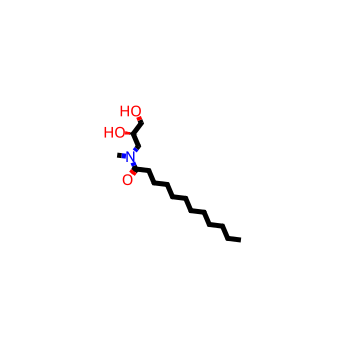 CCCCCCCCCCCC(=O)N(C)C[C@@H](O)CO